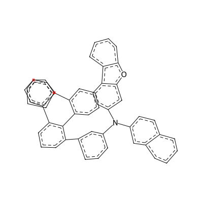 c1ccc(-c2ccccc2-c2c(-c3ccccc3)cccc2-c2cccc(N(c3ccc4ccccc4c3)c3ccc4c(c3)oc3ccccc34)c2)cc1